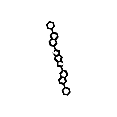 c1cc2cc(C3CCCCC3)ccc2cc1-c1cc2cc3sc(-c4ccc5cc(C6CCCCC6)ccc5c4)cc3cc2s1